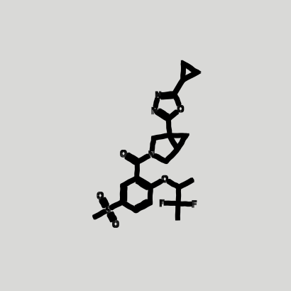 CC(Oc1ccc(S(C)(=O)=O)cc1C(=O)N1CC2CC2(c2nnc(C3CC3)o2)C1)C(C)(F)F